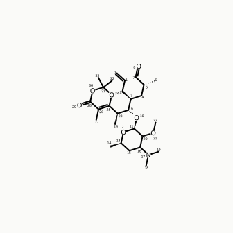 C=CC[C@@H](C[C@@H](C)C=O)[C@H](O[C@@H]1O[C@H](C)CC(N(C)C)C1OC)[C@@H](C)C1=C(C)C(=O)OC(C)(C)O1